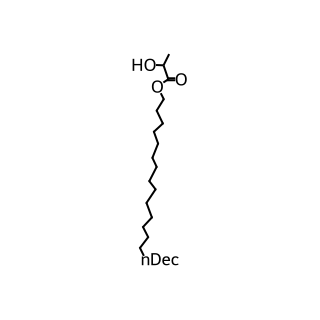 CCCCCCCCCCCCCCCCCCCCCCCCOC(=O)C(C)O